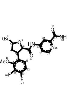 COc1c(C2CC(C(C)(C)C)OC2C(=O)Nc2ccnc(C(N)=O)c2)ccc(F)c1F